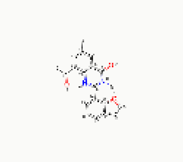 CC(=O)c1cc(C)cc2c(=O)n(C)c(-c3cccc4ccoc34)nc12